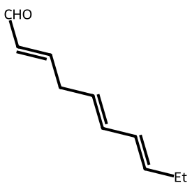 CCC=CC=CCC=CC=O